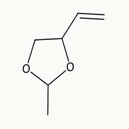 C=CC1COC(C)O1